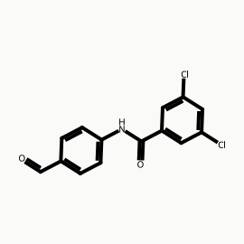 O=Cc1ccc(NC(=O)c2cc(Cl)cc(Cl)c2)cc1